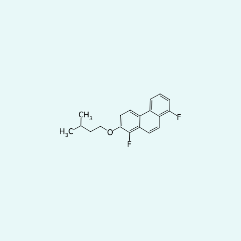 CC(C)CCOc1ccc2c(ccc3c(F)cccc32)c1F